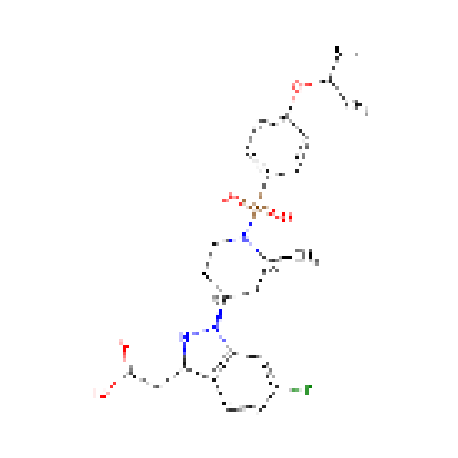 CC(C)Oc1ccc(S(=O)(=O)N2CC[C@H](n3nc(CC(=O)O)c4ccc(F)cc43)C[C@@H]2C)cc1